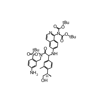 Cc1cc(C(Nc2ccc3c(N(C(=O)OC(C)(C)C)C(=O)OC(C)(C)C)nccc3c2)C(=O)N(C)Cc2cc(N)ccc2S(=O)(=O)C(C)(C)C)ccc1[C@@H](C)CO